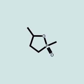 CC1CCP(C)(=O)O1